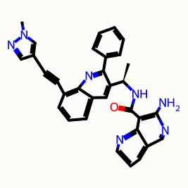 C[C@@H](NC(=O)c1c(N)ncc2cccnc12)c1cc2cccc(C#Cc3cnn(C)c3)c2nc1-c1ccccc1